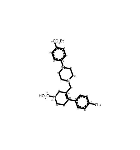 CCOC(=O)c1ccc(N2CCN(CC3=C(c4ccc(Cl)cc4)CCN(C(=O)O)C3)CC2)cc1